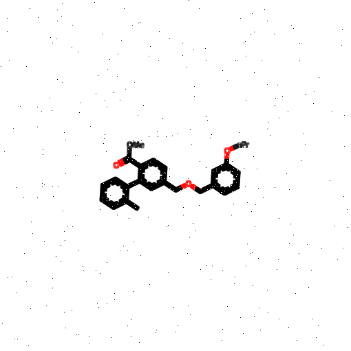 CCCOc1cccc(COCc2ccc(C(=O)OC)c(-c3ccccc3C)c2)c1